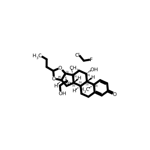 CCCC1O[C@@H]2C[C@H]3[C@@H]4CCC5=CC(=O)C=C[C@]5(C)[C@H]4[C@@H](O)C[C@]3(C)[C@]2(C(=O)CO)O1.FCCl